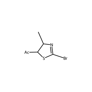 CC(=O)C1SC(Br)=NC1C